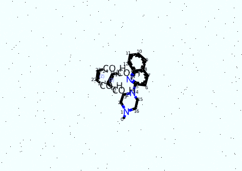 CN1CCN(c2ccc3ccccc3n2)CC1.O=C(O)/C=C\C(=O)O.O=C(O)/C=C\C(=O)O